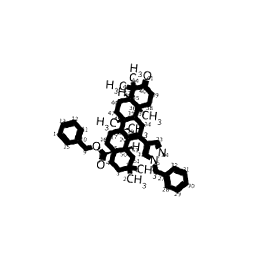 CC1(C)CC[C@]2(C(=O)OCc3ccccc3)CC[C@]3(C)C(=C(c4cnn(Cc5ccccc5)c4)CC4[C@@]5(C)CCC(=O)C(C)(C)[C@@H]5CC[C@]43C)[C@@H]2C1